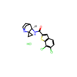 Cl.O=C(N[C@@H]1C2CCN(CC2)C12CC2)c1cc2ccc(Cl)c(Cl)c2s1